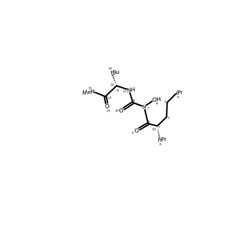 CCC[C@@H](CCC(C)C)C(=O)N(O)C(=O)N[C@H](C(=O)NC)C(C)(C)C